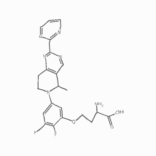 CC1c2cnc(-c3ncccn3)nc2CCN1c1cc(F)c(F)c(OCCC(N)C(=O)O)c1